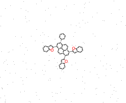 c1ccc(-c2cc(-c3cc4ccccc4o3)c3ccc4c(-c5cc6ccccc6o5)cc(-c5cc6ccccc6o5)c5ccc2c3c54)cc1